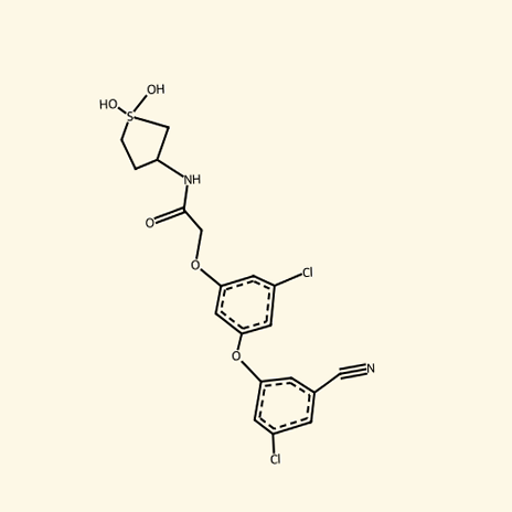 N#Cc1cc(Cl)cc(Oc2cc(Cl)cc(OCC(=O)NC3CCS(O)(O)C3)c2)c1